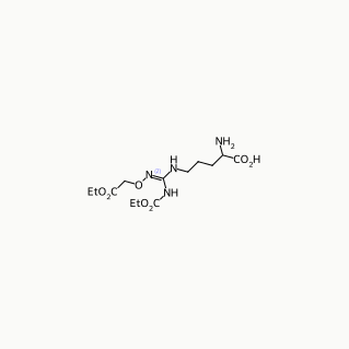 CCOC(=O)CO/N=C(/NCCCC(N)C(=O)O)NC(=O)OCC